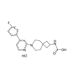 Cl.O=C(O)NC1CC2(CCN(c3cc(-c4ccc(F)cc4)ccn3)CC2)C1